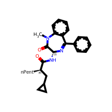 CCCCC[C@H](CC1CC1)C(=O)N[C@H]1N=C(c2ccccc2)c2ccccc2N(C)C1=O